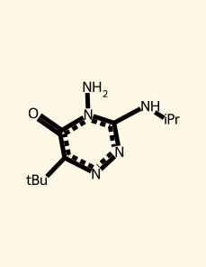 CC(C)Nc1nnc(C(C)(C)C)c(=O)n1N